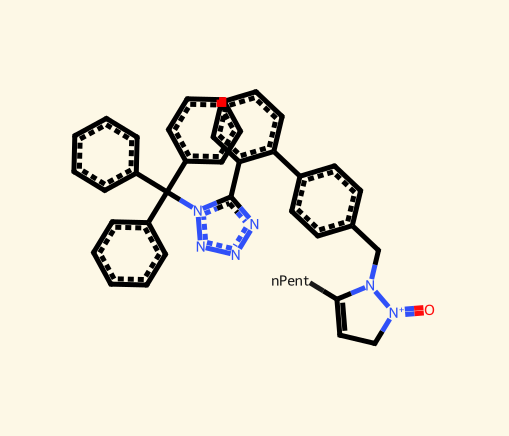 CCCCCC1=CC[N+](=O)N1Cc1ccc(-c2ccccc2-c2nnnn2C(c2ccccc2)(c2ccccc2)c2ccccc2)cc1